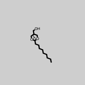 CCCCCCCCCC12OCC(CO)(CO1)CO2